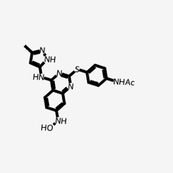 CC(=O)Nc1ccc(Sc2nc(Nc3cc(C)n[nH]3)c3ccc(NO)cc3n2)cc1